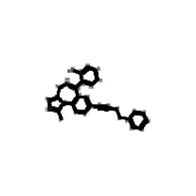 Cc1nnc2n1-c1ccc(C#CCCc3ccccc3)cc1C(c1ccccc1F)=NC2